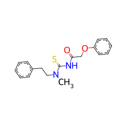 CN(CCc1ccccc1)C(=S)NC(=O)COc1ccccc1